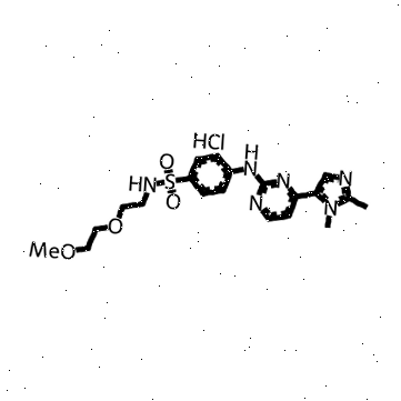 COCCOCCNS(=O)(=O)c1ccc(Nc2nccc(-c3cnc(C)n3C)n2)cc1.Cl